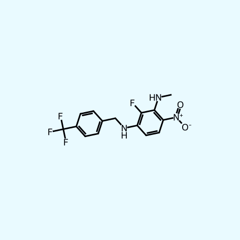 CNc1c([N+](=O)[O-])ccc(NCc2ccc(C(F)(F)F)cc2)c1F